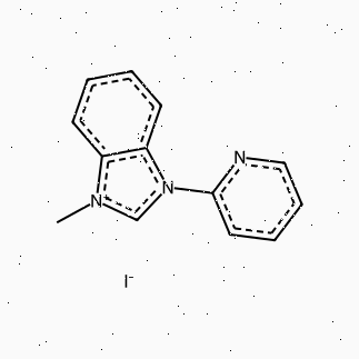 C[n+]1cn(-c2ccccn2)c2ccccc21.[I-]